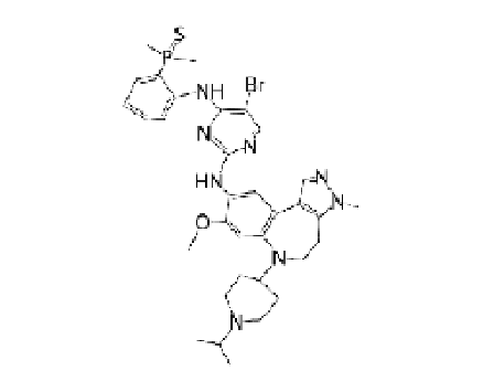 COc1cc2c(cc1Nc1ncc(Br)c(Nc3ccccc3P(C)(C)=S)n1)-c1cnn(C)c1CCN2C1CCN(C(C)C)CC1